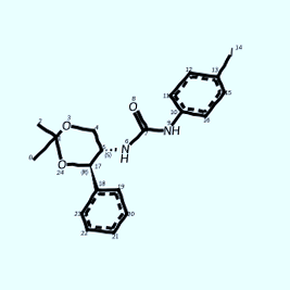 CC1(C)OC[C@H](NC(=O)Nc2ccc(I)cc2)[C@@H](c2ccccc2)O1